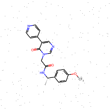 C[C@H](NC(=O)Cn1cncc(-c2ccncc2)c1=O)c1ccc(OC(F)(F)F)cc1